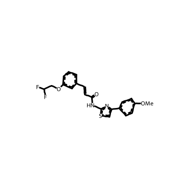 COc1ccc(-c2csc(NC(=O)/C=C/c3cccc(OCC(F)F)c3)n2)cc1